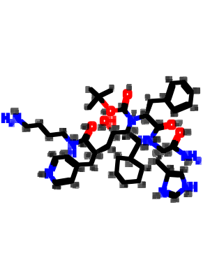 CC(C)(C)OC(=O)N([C@@H](Cc1ccccc1)C(=O)N[C@@H](Cc1c[nH]cn1)C(N)=O)[C@@H](CC1CCCCC1)[C@@H](O)C[C@@H](Cc1ccncc1)C(=O)NCCCCN